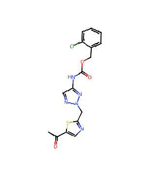 CC(=O)c1cnc(Cn2ncc(NC(=O)OCc3ccccc3Cl)n2)s1